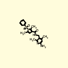 Cc1cc(N)nc(C)c1CNC(=O)c1cc(C)n(S(=O)(=O)c2ccccc2)c1C